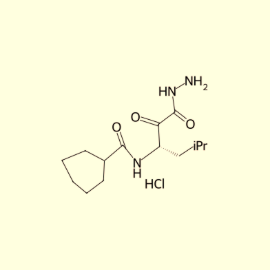 CC(C)C[C@H](NC(=O)C1CCCCC1)C(=O)C(=O)NN.Cl